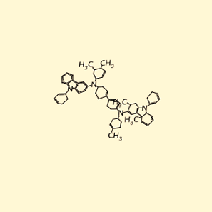 CC1=CCC(N(C2=CC=C(C3=CCC(N(c4ccc5c(c4)c4ccccc4n5C4=CC=CCC4)C4C=CC(C)C(C)C4)CC3)CC2)C2=CC3=C(CC2C)N(C2=CC=CCC2)C2C=CC=CC32C)CC1